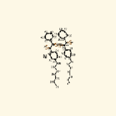 CCCCCCCc1ccc(C(=S)C(=S)c2ccccc2)cc1.CCCCCCCc1ccc(C(=S)C(=S)c2ccccc2)cc1.[Ni]